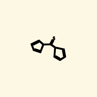 S=C(C1C=CC=C1)C1C=CC=C1